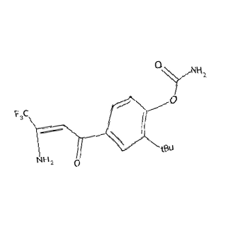 CC(C)(C)c1cc(C(=O)/C=C(\N)C(F)(F)F)ccc1OC(N)=O